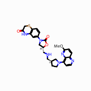 COc1ccc2nccc(N3CC[C@@H](CNC[C@@H]4CN(c5ccc6c(c5)NC(=O)CS6)C(=O)O4)C3)c2n1